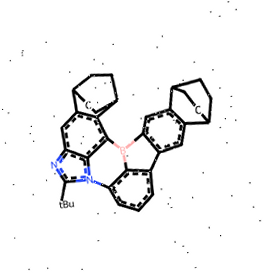 CC(C)(C)c1nc2cc3c(c4c2n1-c1cccc2c1B4c1cc4c(cc1-2)C1CCC4CC1)C1CCC3CC1